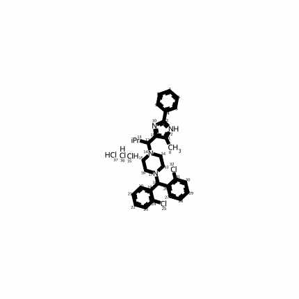 Cc1[nH]c(-c2ccccc2)nc1C(C(C)C)N1CCN(C(c2ccccc2Cl)c2ccccc2Cl)CC1.Cl.Cl.Cl